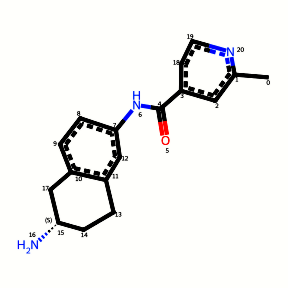 Cc1cc(C(=O)Nc2ccc3c(c2)CC[C@H](N)C3)ccn1